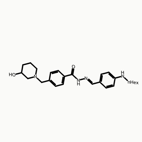 CCCCCCNc1ccc(/C=N/NC(=O)c2ccc(CN3CCCC(O)C3)cc2)cc1